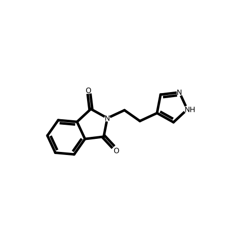 O=C1c2ccccc2C(=O)N1CCc1cn[nH]c1